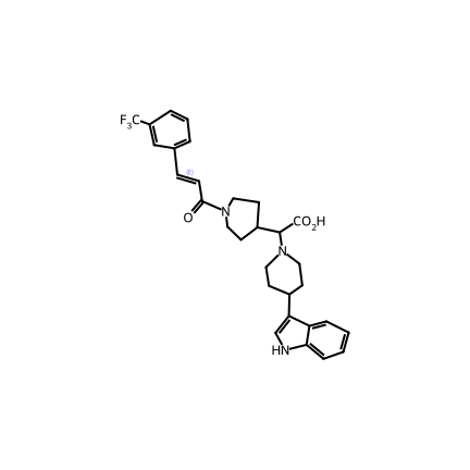 O=C(O)C(C1CCN(C(=O)/C=C/c2cccc(C(F)(F)F)c2)CC1)N1CCC(c2c[nH]c3ccccc23)CC1